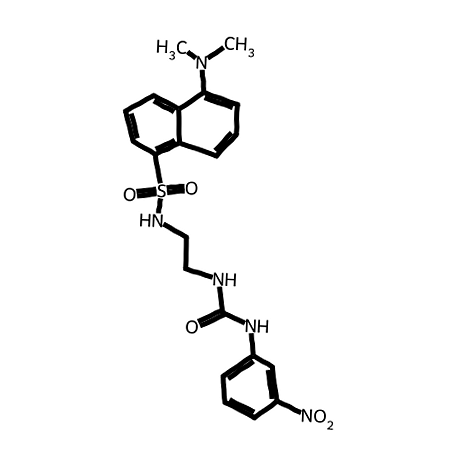 CN(C)c1cccc2c(S(=O)(=O)NCCNC(=O)Nc3cccc([N+](=O)[O-])c3)cccc12